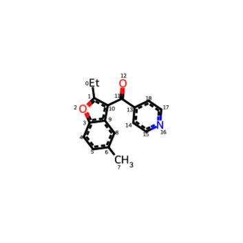 CCc1oc2ccc(C)cc2c1C(=O)c1ccncc1